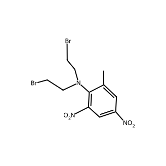 Cc1cc([N+](=O)[O-])cc([N+](=O)[O-])c1N(CCBr)CCBr